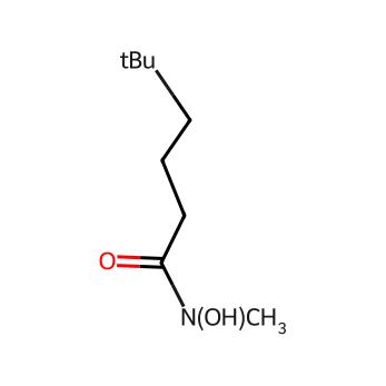 CN(O)C(=O)CCCC(C)(C)C